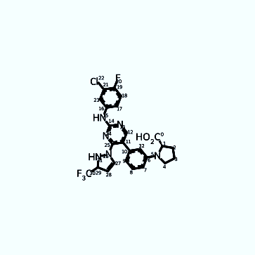 O=C(O)[C@H]1CCCN1c1cccc(-c2cnc(Nc3ccc(F)c(Cl)c3)nc2N2C=CC(C(F)(F)F)N2)c1